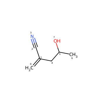 C=C(C#N)CC(C)O